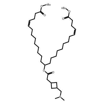 CCCCOC(=O)CC/C=C\CCCCCCCCC(CCCCCCCC/C=C\CCC(=O)OCCCC)OC(=O)CC1CC(CN(C)C)C1